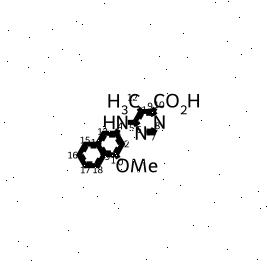 COc1cc(Nc2ncnc(C(=O)O)c2C)cc2ccccc12